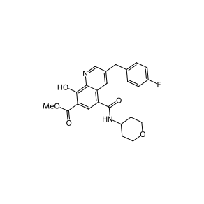 COC(=O)c1cc(C(=O)NC2CCOCC2)c2cc(Cc3ccc(F)cc3)cnc2c1O